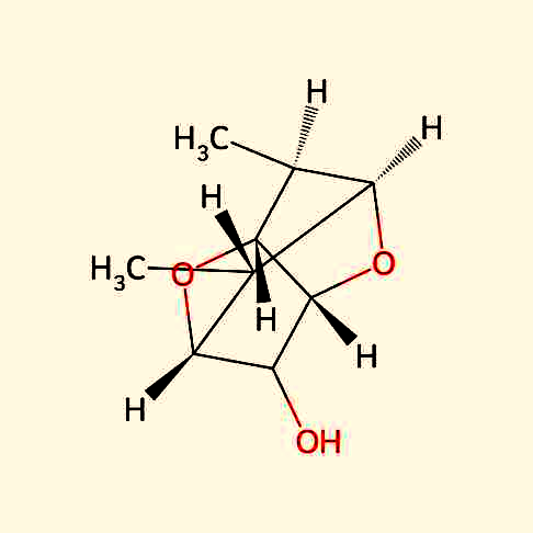 C[C@@H]1[C@@H]2O[C@@H]3C(O)[C@@H]1O[C@@H]3[C@H]2C